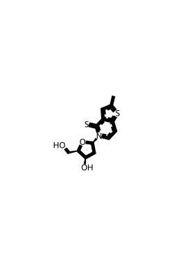 Cc1cc2c(=S)n([C@H]3C[C@@H](O)[C@@H](CO)O3)ccc2s1